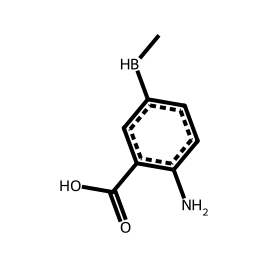 CBc1ccc(N)c(C(=O)O)c1